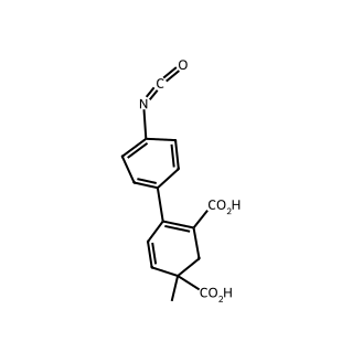 CC1(C(=O)O)C=CC(c2ccc(N=C=O)cc2)=C(C(=O)O)C1